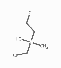 C[Si](C)(CCl)CCCl